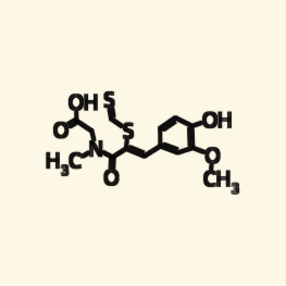 COc1cc(/C=C(\SC=S)C(=O)N(C)CC(=O)O)ccc1O